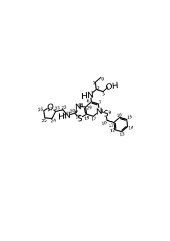 CCC(CO)NC1=CN(SCc2ccccc2)Cc2sc(NCC3CCCO3)nc21